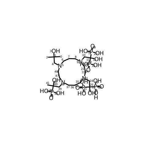 CC(C)(O)CN1CCCN(CC(O)(P(=O)(O)O)P(=O)(O)O)CCN(CC(O)(P(=O)(O)O)P(=O)(O)O)CCCN(CC(C)(O)P(=O)(O)O)CC1